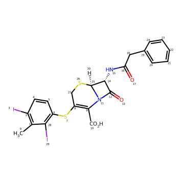 Cc1c(I)ccc(SC2=C(C(=O)O)N3C(=O)[C@@H](NC(=O)Cc4ccccc4)[C@@H]3SC2)c1I